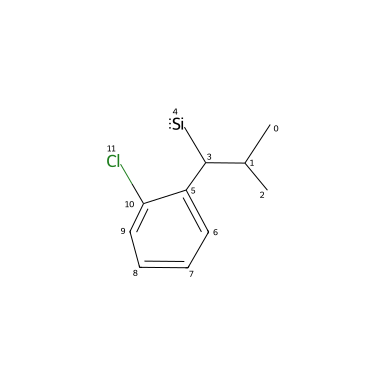 CC(C)C([Si])c1ccccc1Cl